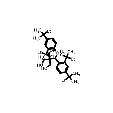 CCC(C)(C)c1ccc(OC(c2ccc(C(C)(C)CC)cc2C(C)(C)CC)C(CO)(CO)CO)c(C(C)(C)CC)c1